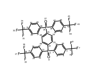 O=P(c1ccc(C(F)(F)F)cc1)(c1ccc(C(F)(F)F)cc1)c1ccc(P(=O)(c2ccc(C(F)(F)F)cc2)c2ccc(C(F)(F)F)cc2)cc1